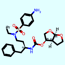 CC(C)CN(CC[C@H](Cc1ccccc1)NC(=O)O[C@H]1CO[C@H]2OCC[C@H]21)S(=O)(=O)c1ccc(N)cc1